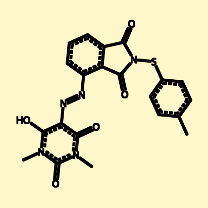 Cc1ccc(SN2C(=O)c3cccc(N=Nc4c(O)n(C)c(=O)n(C)c4=O)c3C2=O)cc1